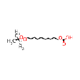 CC(C)(C)OOCCCCCCCCCCOC(=O)O